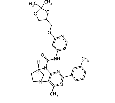 Cc1nc(-c2cccc(C(F)(F)F)c2)nc2c1N1CC[C@@H](C1)N2C(=O)Nc1ccnc(OCC2COC(C)(C)O2)c1